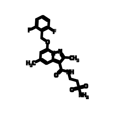 Cc1cc(OCc2c(F)cccc2F)n2nc(C)c(C(=O)NCCS(N)(=O)=O)c2c1